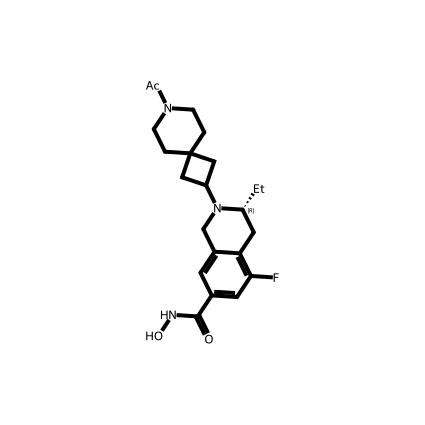 CC[C@@H]1Cc2c(F)cc(C(=O)NO)cc2CN1C1CC2(CCN(C(C)=O)CC2)C1